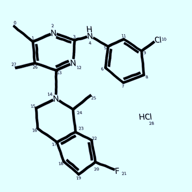 Cc1nc(Nc2cccc(Cl)c2)nc(N2CCc3ccc(F)cc3C2C)c1C.Cl